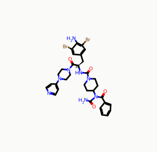 NC(=O)N(C(=O)c1ccccc1)C1CCN(C(=O)N[C@H](Cc2cc(Br)c(N)c(Br)c2)C(=O)N2CCN(c3ccncc3)CC2)CC1